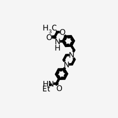 CCNC(=O)c1ccc(N2CCN(Cc3ccc4c(c3)NC(=O)[C@@H](C)O4)CC2)cc1